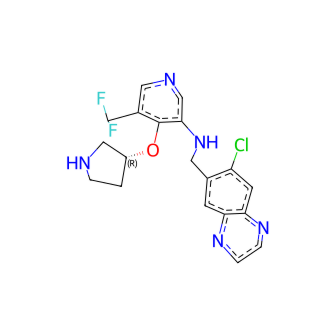 FC(F)c1cncc(NCc2cc3nccnc3cc2Cl)c1O[C@@H]1CCNC1